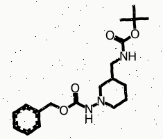 CC(C)(C)OC(=O)NCC1CCCN(NC(=O)OCc2ccccc2)C1